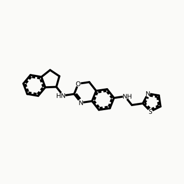 c1ccc2c(c1)CCC2NC1=Nc2ccc(NCc3nccs3)cc2CO1